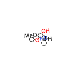 COc1cc(O)c2c(c1Oc1ccccc1)[C@@]13CCCC[C@H]1[C@@H](C2)NCC3